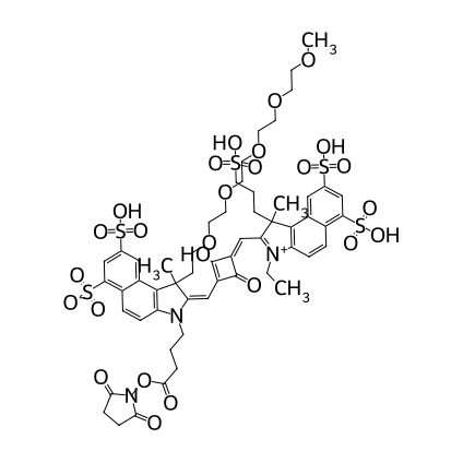 CC[N+]1=C(/C=C2\C(=O)C(/C=C3/N(CCCC(=O)ON4C(=O)CCC4=O)c4ccc5c(S(=O)(=O)[O-])cc(S(=O)(=O)O)cc5c4C3(C)CCOCCOCCOCCOCCOC)=C2O)C(C)(CCCS(=O)(=O)O)c2c1ccc1c(S(=O)(=O)O)cc(S(=O)(=O)O)cc21